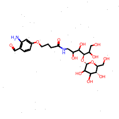 Nc1cc(OCCCC(=O)NCC(O)C(O)[C@H](O[C@@H]2OC(CO)[C@H](O)C(O)C2O)C(O)CO)ccc1C=O